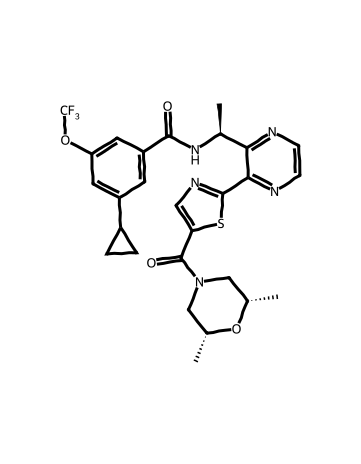 C[C@@H]1CN(C(=O)c2cnc(-c3nccnc3[C@H](C)NC(=O)c3cc(OC(F)(F)F)cc(C4CC4)c3)s2)C[C@H](C)O1